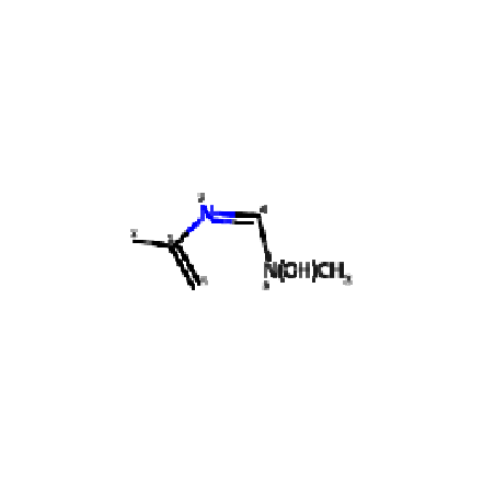 C=C(C)/N=C\N(C)O